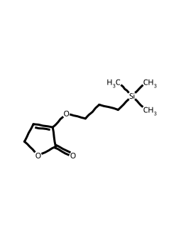 C[Si](C)(C)CCCOC1=CCOC1=O